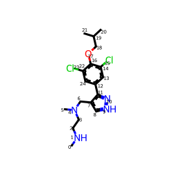 CNCCN(C)Cc1c[nH]nc1-c1cc(Cl)c(OCC(C)C)c(Cl)c1